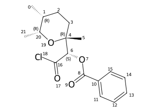 C[C@@H]1CC[C@](C)([C@H](OC(=O)c2ccccc2)C(=O)Cl)O[C@@H]1C